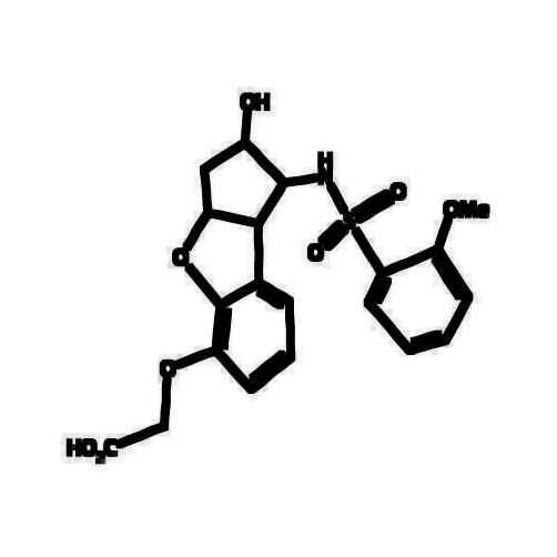 COc1ccccc1S(=O)(=O)NC1C(O)CC2Oc3c(OCC(=O)O)cccc3C21